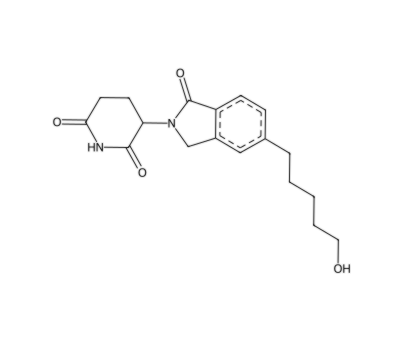 O=C1CCC(N2Cc3cc(CCCCCO)ccc3C2=O)C(=O)N1